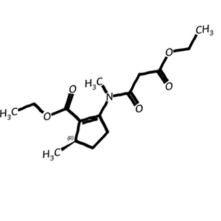 CCOC(=O)CC(=O)N(C)C1=C(C(=O)OCC)[C@H](C)CC1